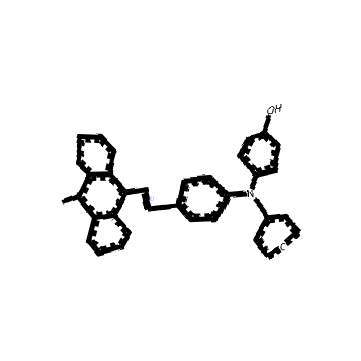 Cc1c2ccccc2c(/C=C/c2ccc(N(c3ccccc3)c3ccc(O)cc3)cc2)c2ccccc12